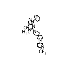 Cn1c(N2CCC3(CCN(c4ccc(C(F)(F)F)nc4)C3)CC2)nc2c(cnn2C2CCCCO2)c1=O